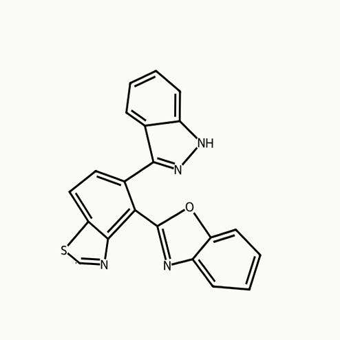 [c]1nc2c(-c3nc4ccccc4o3)c(-c3n[nH]c4ccccc34)ccc2s1